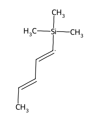 CC=C/C=[C]/[Si](C)(C)C